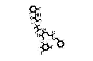 CC(C)(NC(=O)C(=O)Nc1c(F)cccc1F)C(=O)N[C@@H](CCC(=O)OCc1ccccc1)C(=O)COc1c(F)c(F)cc(F)c1F